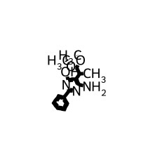 COC(OC)C(C)c1c(N)nc(-c2ccccc2)nc1O